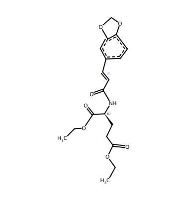 CCOC(=O)CC[C@H](NC(=O)/C=C/c1ccc2c(c1)OCO2)C(=O)OCC